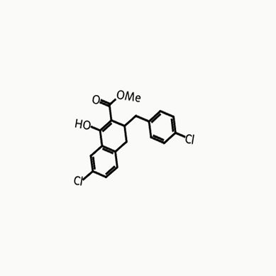 COC(=O)C1=C(O)c2cc(Cl)ccc2CC1Cc1ccc(Cl)cc1